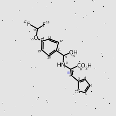 O=C(O)/C(=C\c1cccs1)NC(O)c1ccc(OC(F)F)cc1